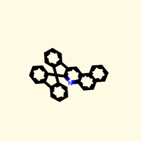 c1ccc2c(c1)-c1ccccc1C21c2ccccc2-c2cc3c(ccc4ccccc43)nc21